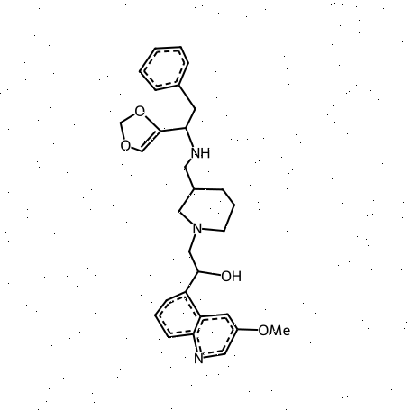 COc1cnc2cccc(C(O)CN3CCCC(CNC(Cc4ccccc4)C4=COCO4)C3)c2c1